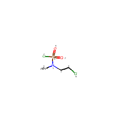 CCCN(CCCl)S(=O)(=O)Cl